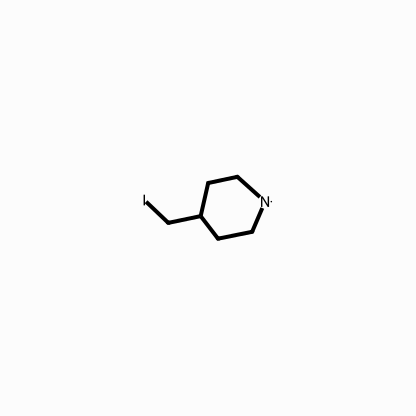 ICC1CC[N]CC1